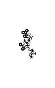 CO/N=C(/C(=O)NC1C(=O)N2C(C(=O)OC(c3ccccc3)c3ccccc3)=C(/C=C/Sc3nnc(NC(=O)OC(C)(C)C)s3)CSC12)c1csc(NC(c2ccccc2)(c2ccccc2)c2ccccc2)n1